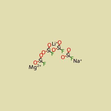 O=[Si]([O-])F.O=[Si]([O-])F.O=[Si]([O-])F.O=[Si]([O-])F.[Li+].[Mg+2].[Na+]